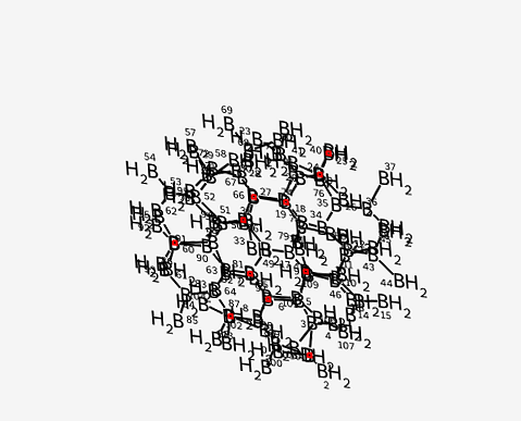 BB(B)B(B)B(B(B)B)B(B(B(B)B)B(B)B)B(B(B(B(B(B)B)B(B)B)B(B(B)B)B(B)B)B(B(B(B)B)B(B)B)B(B(B)B)B(B)B)B(B(B(B(B(B)B)B(B)B)B(B(B)B)B(B)B)B(B(B(B)B)B(B)B)B(B(B)B)B(B)B)B(B(B(B(B)B)B(B)B)B(B(B)B)B(B)B)B(B(B(B)B)B(B)B)B(B(B)B)B(B)B